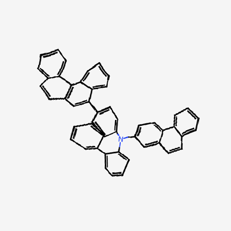 c1ccc(-c2ccccc2N(c2ccc(-c3cc4ccc5ccccc5c4c4ccccc34)cc2)c2ccc3c(ccc4ccccc43)c2)cc1